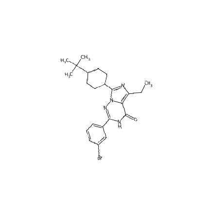 CCc1nc(C2CCC(C(C)(C)C)CC2)n2nc(-c3cccc(Br)c3)[nH]c(=O)c12